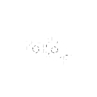 CC(C)(C)Oc1ccc(C2SC(=O)NC2=O)cc1C(=O)NCc1ccc(C(F)(F)F)cc1